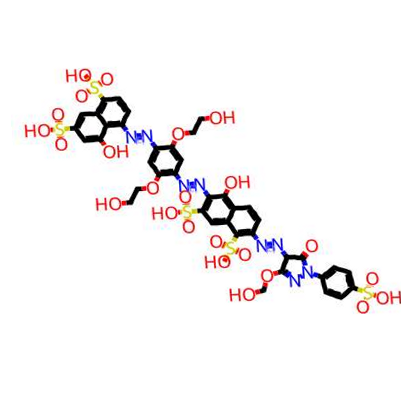 O=C1C(/N=N/c2ccc3c(O)c(/N=N/c4cc(OCCO)c(/N=N/c5ccc(S(=O)(=O)O)c6cc(S(=O)(=O)O)cc(O)c56)cc4OCCO)c(S(=O)(=O)O)cc3c2S(=O)(=O)O)C(OCO)=NN1c1ccc(S(=O)(=O)O)cc1